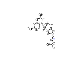 COc1ccc([C@H](CC(=O)O)N2CCn3cc(/C=C/CC(C)=O)cc3C2=O)cn1